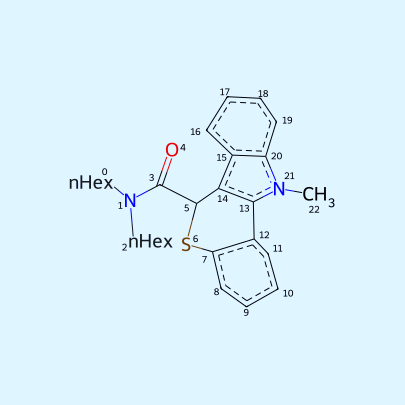 CCCCCCN(CCCCCC)C(=O)C1Sc2ccccc2-c2c1c1ccccc1n2C